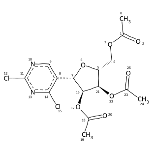 CC(=O)OC[C@H]1O[C@@H](c2cnc(Cl)nc2Cl)[C@H](OC(C)=O)[C@@H]1OC(C)=O